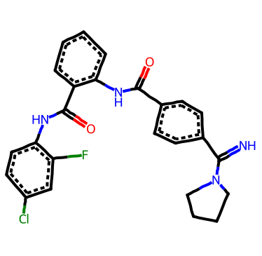 N=C(c1ccc(C(=O)Nc2ccccc2C(=O)Nc2ccc(Cl)cc2F)cc1)N1CCCC1